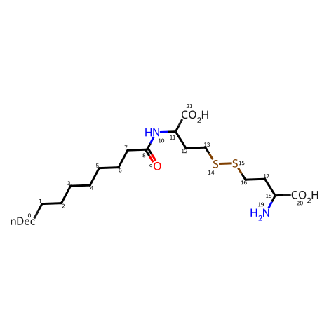 CCCCCCCCCCCCCCCCCC(=O)NC(CCSSCCC(N)C(=O)O)C(=O)O